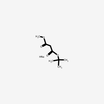 COC(=O)CC(=O)OC(C)(C)C.[NaH]